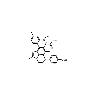 COC(=O)[C@@H](OC(C)(C)C)c1c(C)c2c3c(cc(C)n3CCN2c2ncc(OC)cn2)c1-c1ccc(C)cc1